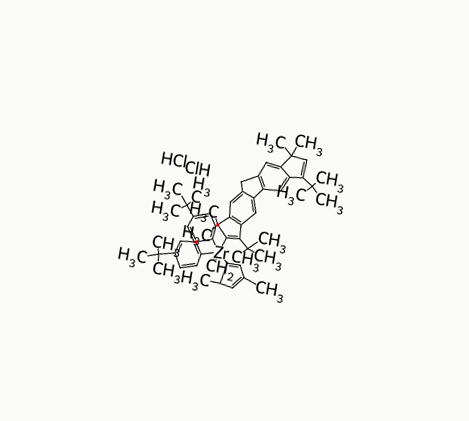 Cl.Cl.[CH2]=[Zr]([C]1=CC(C)=CC1C)([C]1=C(C(C)(C)C)c2cc3c(cc2C1(C)C)Cc1cc2c(cc1-3)C(C(C)(C)C)=CC2(C)C)([c]1ccc(C(C)(C)C)cc1)[c]1ccc(C(C)(C)C)cc1